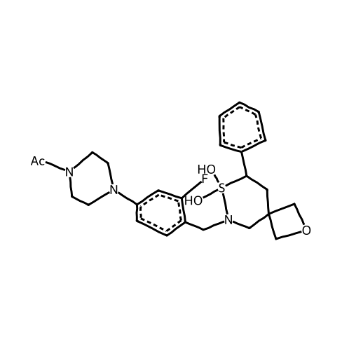 CC(=O)N1CCN(c2ccc(CN3CC4(COC4)CC(c4ccccc4)S3(O)O)c(F)c2)CC1